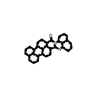 O=c1c2ccc3c4cccc5cccc(c6ccc(c2c36)c2nc3cccc6cccc(c63)n12)c54